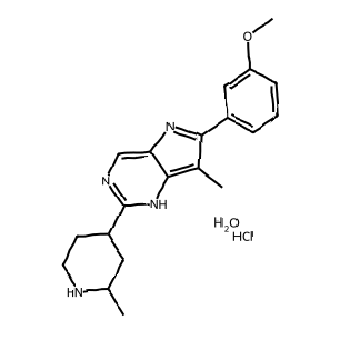 COc1cccc(-c2nc3cnc(C4CCNC(C)C4)[nH]c-3c2C)c1.Cl.O